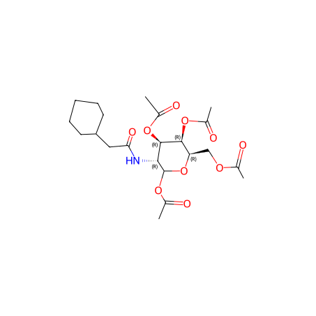 CC(=O)OC[C@H]1OC(OC(C)=O)[C@H](NC(=O)CC2CCCCC2)[C@@H](OC(C)=O)[C@H]1OC(C)=O